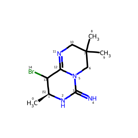 C[C@@H]1NC(=N)N2CC(C)(C)CN=C2C1Br